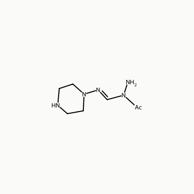 CC(=O)N(N)C=NN1CCNCC1